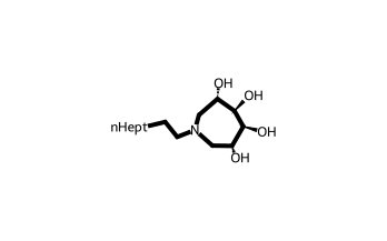 CCCCCCCCCN1C[C@@H](O)[C@H](O)[C@H](O)[C@@H](O)C1